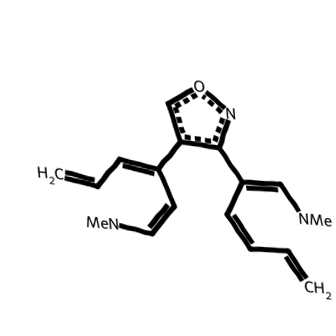 C=C/C=C\C(=C/NC)c1nocc1C(/C=C\NC)=C/C=C